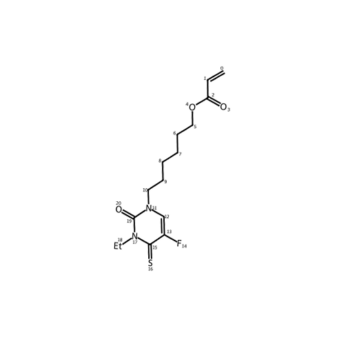 C=CC(=O)OCCCCCCn1cc(F)c(=S)n(CC)c1=O